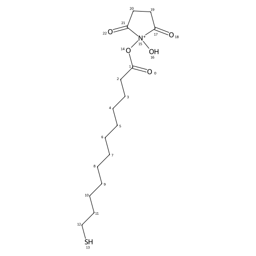 O=C(CCCCCCCCCCCS)O[N+]1(O)C(=O)CCC1=O